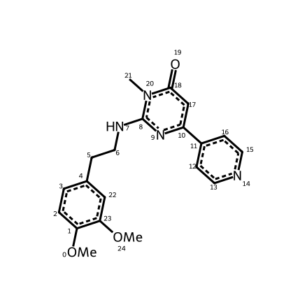 COc1ccc(CCNc2nc(-c3ccncc3)cc(=O)n2C)cc1OC